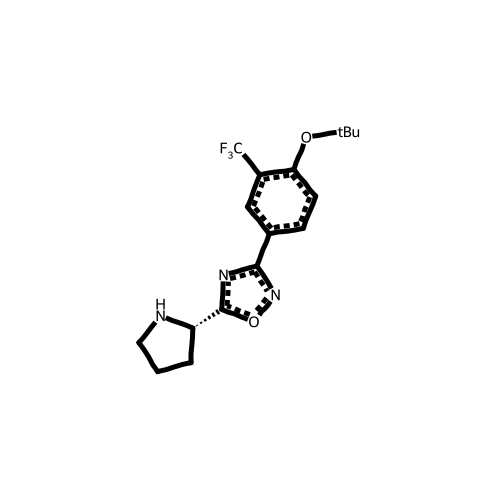 CC(C)(C)Oc1ccc(-c2noc([C@@H]3CCCN3)n2)cc1C(F)(F)F